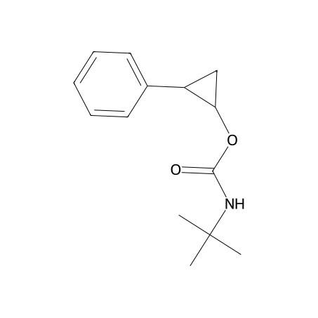 CC(C)(C)NC(=O)OC1CC1c1ccccc1